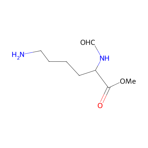 COC(=O)C(CCCCN)NC=O